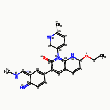 CCOC1C=Cc2cc(C3=C/C(=C/NC)C(=N)C=C3)c(=O)n(C3=CC=C(C)NC3)c2N1